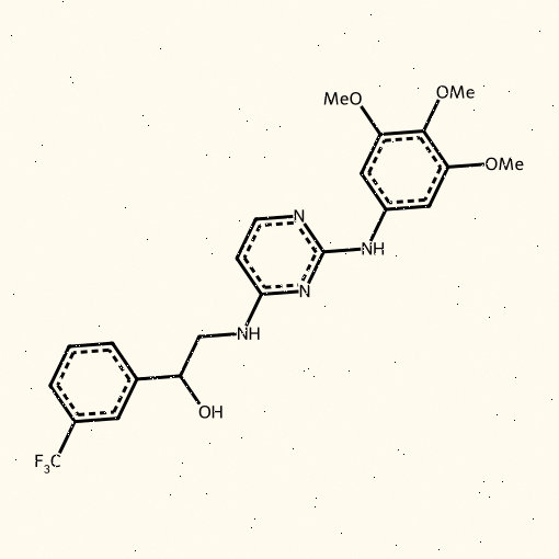 COc1cc(Nc2nccc(NCC(O)c3cccc(C(F)(F)F)c3)n2)cc(OC)c1OC